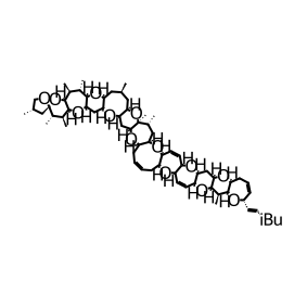 CC[C@@H](C)/C=C/[C@H]1C=CC[C@@H]2O[C@@H]3C[C@@H]4O[C@@H]5C=C[C@@H]6O[C@@H]7C[C@@H](C)[C@]8(C)O[C@@H]9C[C@H](C)C[C@@H]%10O[C@@H]%11[C@@H](C)[C@H](C)[C@@H]%12O[C@]%13(C[C@H](C)CO%13)[C@@H](C)[C@H](C)[C@H]%12O[C@H]%11C[C@H]%10O[C@H]9C[C@H]8O[C@H]7C/C=C\C[C@H]6O[C@H]5C=C[C@H]4O[C@H]3[C@H](C)[C@H]2O1